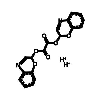 O=C(OC1C=Nc2ccccc2O1)C(=O)OC1C=Nc2ccccc2O1.[H+].[H+]